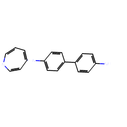 C1=CC=CNC=C1.Nc1ccc(-c2ccc(N)cc2)cc1